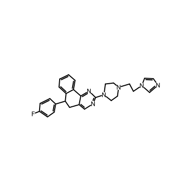 Fc1ccc(C2Cc3cnc(N4CCN(CCn5ccnc5)CC4)nc3-c3ccccc32)cc1